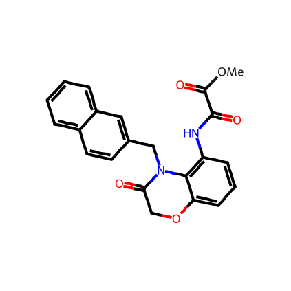 COC(=O)C(=O)Nc1cccc2c1N(Cc1ccc3ccccc3c1)C(=O)CO2